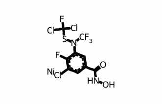 O=C(NO)c1cc(Cl)c(F)c(N(SC(F)(Cl)Cl)C(F)(F)F)c1.[Ni]